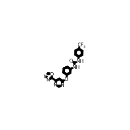 O=C(Nc1ccc(C(F)(F)F)cc1)Nc1cccc(Oc2cc(-c3nnco3)ncn2)c1